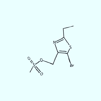 CCc1nc(COS(C)(=O)=O)c(Br)s1